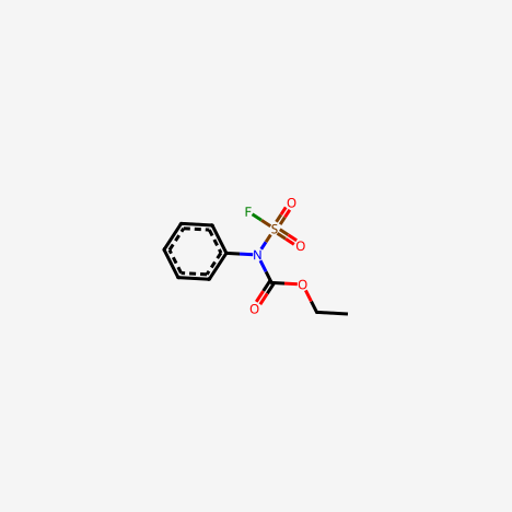 CCOC(=O)N(c1ccccc1)S(=O)(=O)F